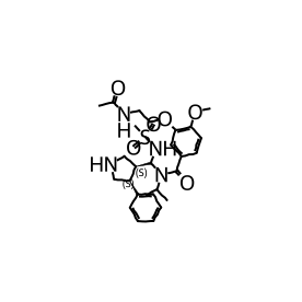 COc1ccc(C(=O)N(C(C)C)C(NS(C)(=O)=O)[C@@H]2CNC[C@@H]2c2ccccc2)cc1OCCNC(C)=O